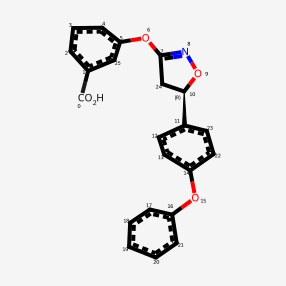 O=C(O)c1cccc(OC2=NO[C@@H](c3ccc(Oc4ccccc4)cc3)C2)c1